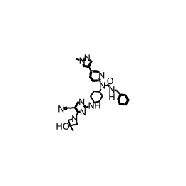 Cn1cc(-c2ccc(N(C(=O)NCc3ccccc3)C3CCC(Nc4ncc(C#N)c(N5CC(C)(O)C5)n4)CC3)nc2)cn1